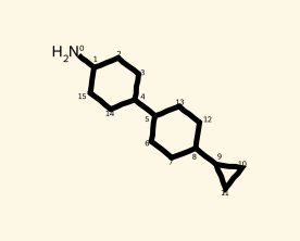 NC1CCC(C2CCC(C3CC3)CC2)CC1